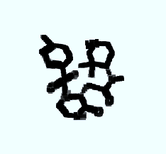 Cc1ccc(S(=O)(=O)N2C=CNC(=O)[C@H]2CC(=O)N(C)[C@H]2CCNCC2(C)C)cc1